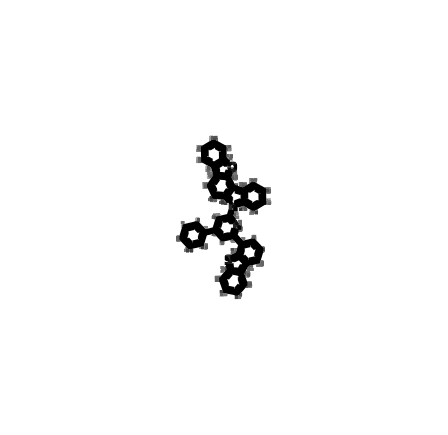 c1ccc(-c2cc(-c3cccc4c3sc3ccccc34)nc(-n3c4ccccc4c4c5oc6ccccc6c5ccc43)c2)cc1